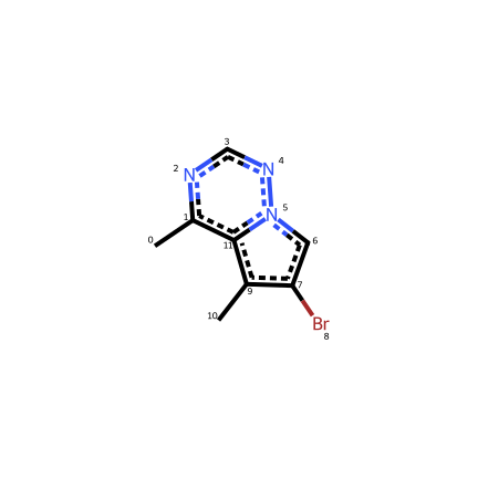 Cc1ncnn2cc(Br)c(C)c12